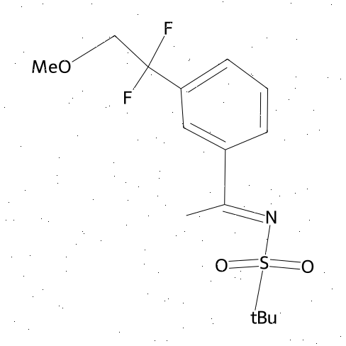 COCC(F)(F)c1cccc(C(C)=NS(=O)(=O)C(C)(C)C)c1